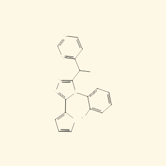 COc1ccccc1-n1c(-c2cccs2)nnc1C(S)c1ccncn1